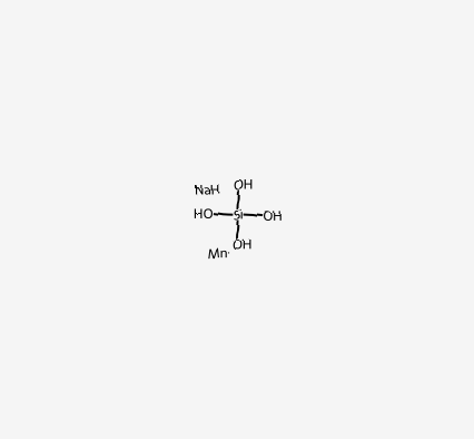 O[Si](O)(O)O.[Mn].[NaH]